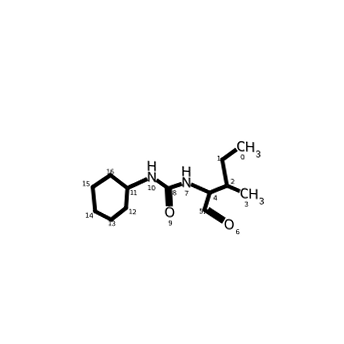 CCC(C)C([C]=O)NC(=O)NC1CCCCC1